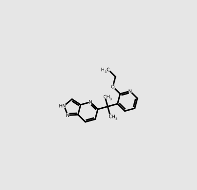 CCOc1ncccc1C(C)(C)c1ccc2n[nH]cc2n1